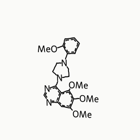 COc1ccccc1N1CCN(c2ncnc3cc(OC)c(OC)c(OC)c23)CC1